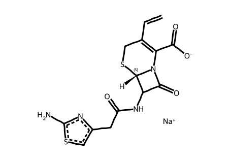 C=CC1=C(C(=O)[O-])N2C(=O)C(NC(=O)Cc3csc(N)n3)[C@@H]2SC1.[Na+]